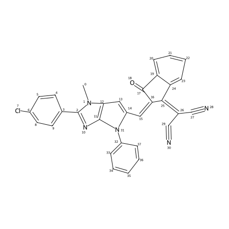 Cn1c(-c2ccc(Cl)cc2)nc2c1cc(/C=C1\C(=O)c3ccccc3C1=C(C#N)C#N)n2-c1ccccc1